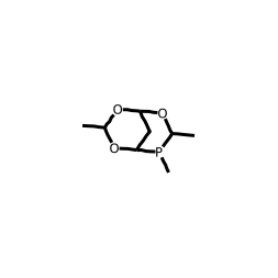 CC1OC2CC(O1)P(C)C(C)O2